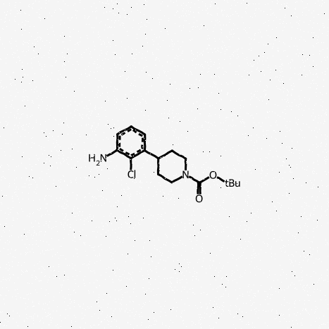 CC(C)(C)OC(=O)N1CCC(c2cccc(N)c2Cl)CC1